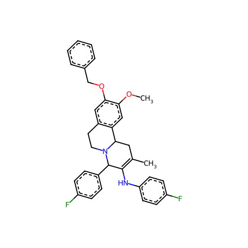 COc1cc2c(cc1OCc1ccccc1)CCN1C2CC(C)=C(Nc2ccc(F)cc2)C1c1ccc(F)cc1